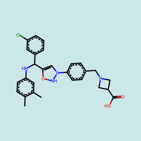 Cc1ccc(NC(C2=CN(c3ccc(CN4CC(C(=O)O)C4)cc3)NO2)c2cccc(Cl)c2)cc1C